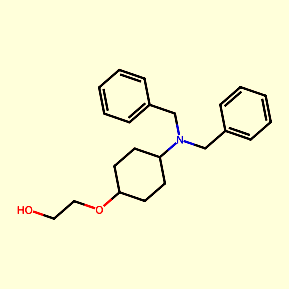 OCCOC1CCC(N(Cc2ccccc2)Cc2ccccc2)CC1